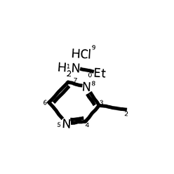 CCN.Cc1cnccn1.Cl